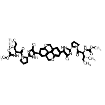 CC[C@@H](C)[C@H](NC(=O)OC)C(=O)N1CCC[C@H]1c1nc(Cl)c(-c2cc3c4c(c2)OCc2cc(-c5[nH]c([C@@H]6CCCN6C(=O)[C@@H](NC(=O)OC)[C@H](C)CC)nc5Cl)cc(c2-4)OC3)[nH]1